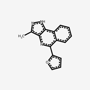 Cc1n[nH]c2c1nc(-c1ccco1)c1ccccc12